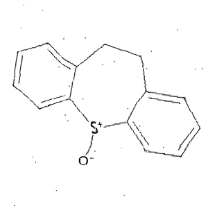 [O-][S+]1c2ccccc2CCc2ccccc21